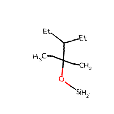 CCC(CC)C(C)(C)O[SiH2]